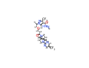 C=NNC(=O)c1c(C(F)(F)F)nn(C(C)COCCC(=O)N2CC[C@@H]3[C@H]2CCN3c2ncc(C(F)(F)F)cn2)c1C